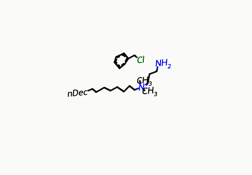 CCCCCCCCCCCCCCCCCC[N+](C)(C)CCCN.ClCc1ccccc1